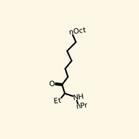 CCCCCCCCCCCCCC(=O)C(CC)NCCC